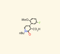 CCCCn1ccc(-c2cc(F)ccc2OC)c(C(=O)O)c1=O